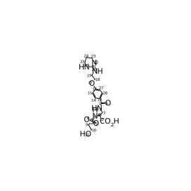 O=C(NC[C@H](NS(=O)(=O)CCO)C(=O)O)c1ccc(OCCNC2=NCCCN2)cc1